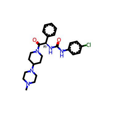 CN1CCN(C2CCN(C(=O)[C@H](NC(=O)Nc3ccc(Cl)cc3)c3ccccc3)CC2)CC1